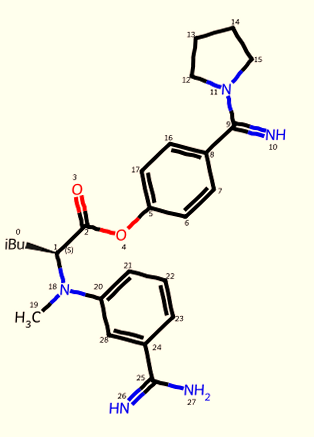 CCC(C)[C@@H](C(=O)Oc1ccc(C(=N)N2CCCC2)cc1)N(C)c1cccc(C(=N)N)c1